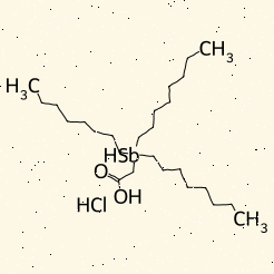 CCCCCCC[CH2][SbH]([CH2]CCCCCCC)([CH2]CCCCCCC)[CH2]C(=O)O.Cl